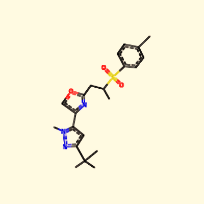 Cc1ccc(S(=O)(=O)C(C)Cc2nc(-c3cc(C(C)(C)C)nn3C)co2)cc1